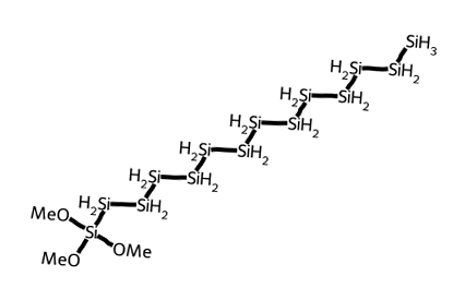 CO[Si](OC)(OC)[SiH2][SiH2][SiH2][SiH2][SiH2][SiH2][SiH2][SiH2][SiH2][SiH2][SiH2][SiH2][SiH3]